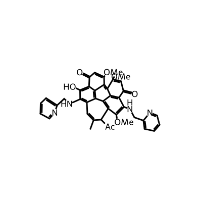 COc1c(NCc2ccccn2)c2c(=O)cc(OC)c3c4c(OC)cc(=O)c5c(O)c(NCc6ccccn6)c6c(c(c1C(C(C)=O)C(C)=C6)c23)c54